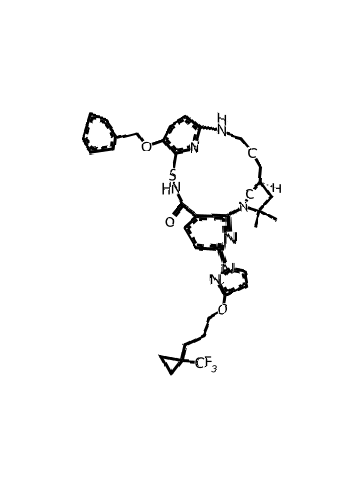 CC1(C)C[C@@H]2CCCNc3ccc(OCc4ccccc4)c(n3)SNC(=O)c3ccc(-n4ccc(OCCCC5(C(F)(F)F)CC5)n4)nc3N1C2